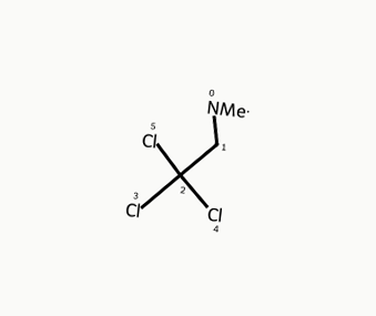 C[N]CC(Cl)(Cl)Cl